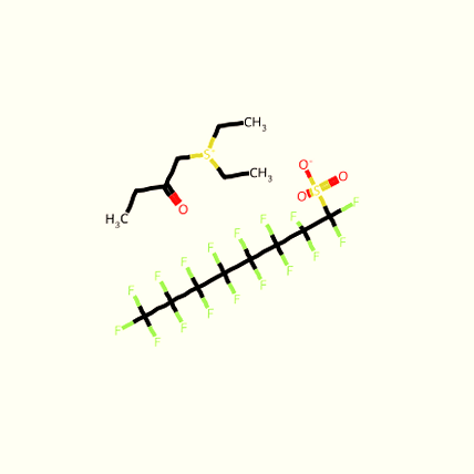 CCC(=O)C[S+](CC)CC.O=S(=O)([O-])C(F)(F)C(F)(F)C(F)(F)C(F)(F)C(F)(F)C(F)(F)C(F)(F)C(F)(F)F